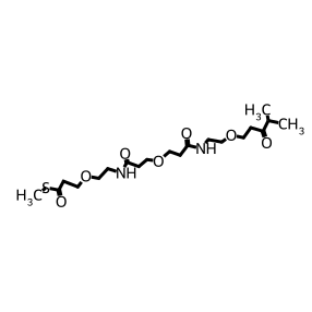 CSC(=O)CCOCCNC(=O)CCOCCC(=O)NCCOCCC(=O)C(C)C